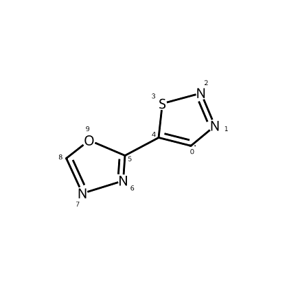 [c]1nnsc1-c1nnco1